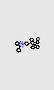 c1ccc(-c2nc(-c3ccc(-c4cc5c(c6ccccc46)-c4c(ccc6ccccc46)C54c5ccccc5-c5ccccc54)cc3)nc3ccccc23)cc1